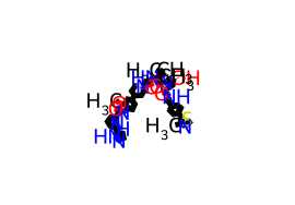 COc1cc(C2CCN(CC(=O)N[C@H](C(=O)N3C[C@H](O)C[C@H]3C(=O)NCc3ccc(-c4scnc4C)cc3)C(C)(C)C)CC2)ccc1NC(=O)c1cccc(-c2ccn[nH]2)n1